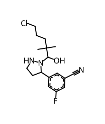 CC(C)(CCCCl)C(O)N1NCCC1c1cc(F)cc(C#N)c1